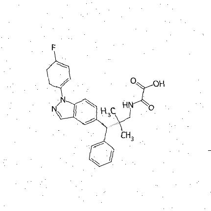 CC(C)(CNC(=O)C(=O)O)[C@H](c1ccccc1)c1ccc2c(cnn2C2=CC=C(F)CC2)c1